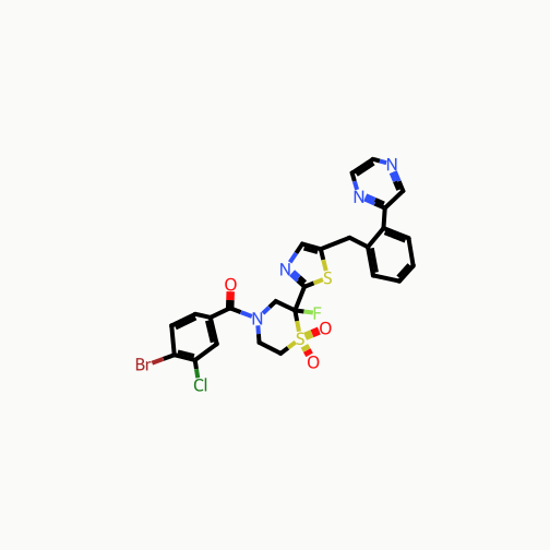 O=C(c1ccc(Br)c(Cl)c1)N1CCS(=O)(=O)C(F)(c2ncc(Cc3ccccc3-c3cnccn3)s2)C1